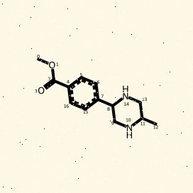 COC(=O)c1ccc(C2CNC(C)CN2)cc1